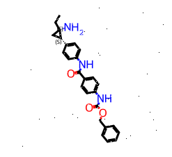 CC[C@]1(N)C[C@H]1c1ccc(NC(=O)c2ccc(NC(=O)OCc3ccccc3)cc2)cc1